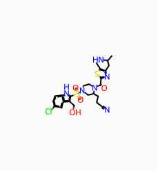 CC1Cc2nc(C(=O)N3CCN(S(=O)(=O)c4[nH]c5ccc(Cl)cc5c4CO)CC3CCC#N)sc2CN1